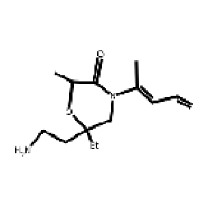 C=C/C=C(\C)N1CC(CC)(CCN)OC(C)C1=O